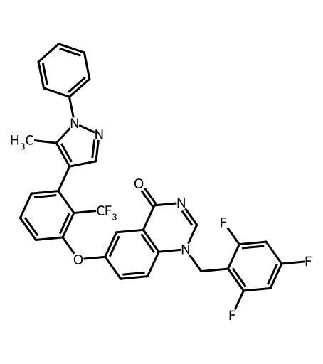 Cc1c(-c2cccc(Oc3ccc4c(c3)c(=O)ncn4Cc3c(F)cc(F)cc3F)c2C(F)(F)F)cnn1-c1ccccc1